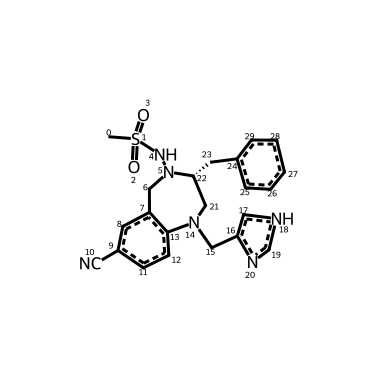 CS(=O)(=O)NN1Cc2cc(C#N)ccc2N(Cc2c[nH]cn2)C[C@H]1Cc1ccccc1